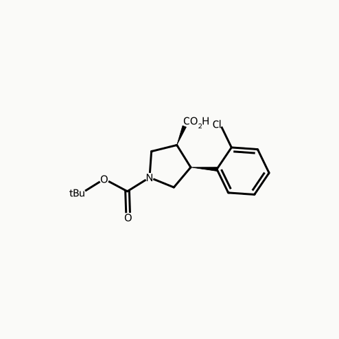 CC(C)(C)OC(=O)N1C[C@H](c2ccccc2Cl)[C@H](C(=O)O)C1